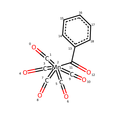 O=[C]=[Mn](=[C]=O)(=[C]=O)(=[C]=O)(=[C]=O)[C](=O)c1ccccc1